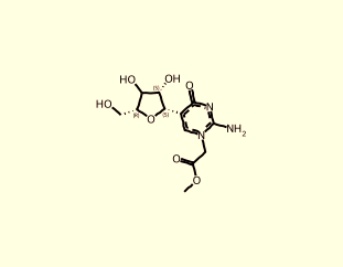 COC(=O)Cn1cc([C@@H]2O[C@H](CO)C(O)[C@@H]2O)c(=O)nc1N